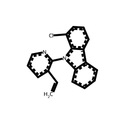 C=Cc1cccnc1-n1c2ccccc2c2cccc(Cl)c21